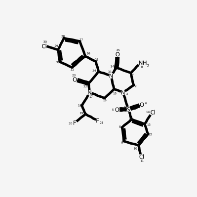 NC1CN(S(=O)(=O)c2ccc(Cl)cc2Cl)C2CN(CC(F)F)C(=O)C(Cc3ccc(Cl)cc3)N2C1=O